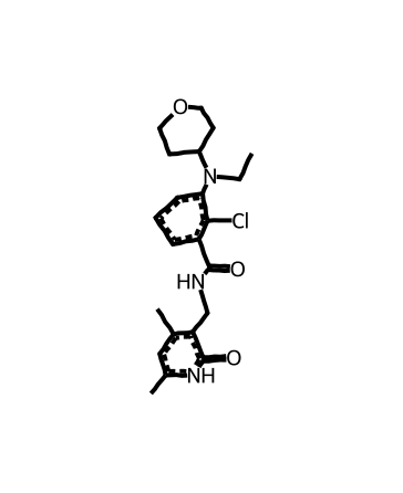 CCN(c1cccc(C(=O)NCc2c(C)cc(C)[nH]c2=O)c1Cl)C1CCOCC1